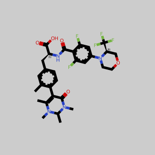 CC1=C(c2ccc(C[C@H](NC(=O)c3c(F)cc(N4CCOC[C@@H]4C(F)(F)F)cc3F)C(=O)O)cc2C)C(=O)N(C)C(C)N1C